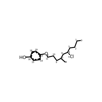 CCCC[C@@H](Cl)CC(C)CCCOc1ccc(O)cc1